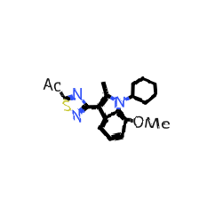 COc1cccc2c(-c3nsc(C(C)=O)n3)c(C)n(C3CCCCC3)c12